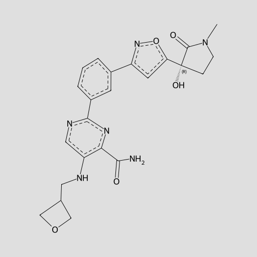 CN1CC[C@@](O)(c2cc(-c3cccc(-c4ncc(NCC5COC5)c(C(N)=O)n4)c3)no2)C1=O